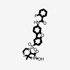 CC1(C)SCCN(S(=O)(=O)c2ccc3oc4cc(NC(=O)c5ccccc5F)ccc4c3c2)C1C(=O)NO